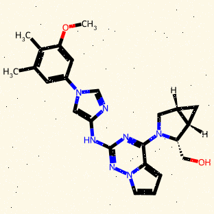 COc1cc(-n2cnc(Nc3nc(N4C[C@@H]5C[C@@H]5[C@@H]4CO)c4cccn4n3)c2)cc(C)c1C